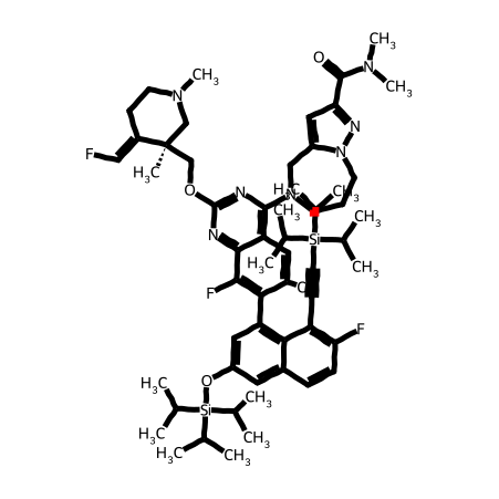 CC(C)[Si](C#Cc1c(F)ccc2cc(O[Si](C(C)C)(C(C)C)C(C)C)cc(-c3c(Cl)cc4c(N5CCCn6nc(C(=O)N(C)C)cc6C5)nc(OC[C@]5(C)CN(C)CC/C5=C\F)nc4c3F)c12)(C(C)C)C(C)C